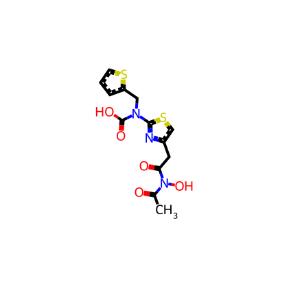 CC(=O)N(O)C(=O)Cc1csc(N(Cc2cccs2)C(=O)O)n1